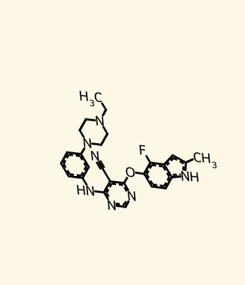 CCN1CCN(c2cccc(Nc3ncnc(Oc4ccc5[nH]c(C)cc5c4F)c3C#N)c2)CC1